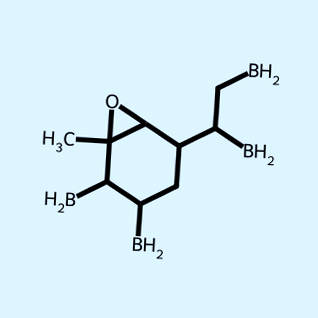 BCC(B)C1CC(B)C(B)C2(C)OC12